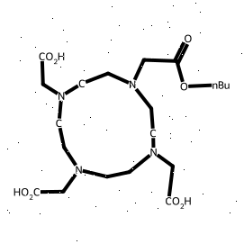 CCCCOC(=O)CN1CCN(CC(=O)O)CCN(CC(=O)O)CCN(CC(=O)O)CC1